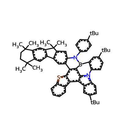 CC(C)(C)c1ccc(N2B3c4cc(C(C)(C)C)ccc4-n4c5ccc(C(C)(C)C)cc5c5c6c(sc7ccccc76)c(c3c54)-c3cc4c(cc32)C(C)(C)c2cc3c(cc2-4)C(C)(C)CCC3(C)C)cc1